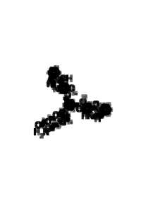 COCCOCCOCCN(CC(C)(C)SSCCCON)c1cc(COc2cc3c(cc2OC)C(O)N2c4ccccc4C[C@H]2C=N3)cc(COc2cc3c(cc2OC)C(=O)N2c4ccccc4C[C@H]2CN3)c1